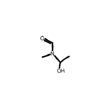 CC(O)N(C)C=O